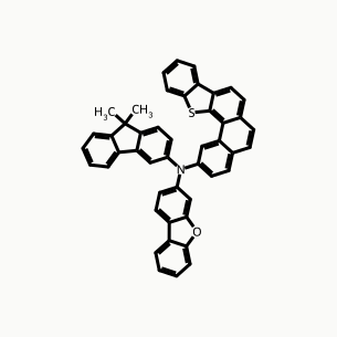 CC1(C)c2ccccc2-c2cc(N(c3ccc4c(c3)oc3ccccc34)c3ccc4ccc5ccc6c7ccccc7sc6c5c4c3)ccc21